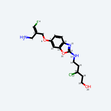 NC/C(=C/F)COc1ccc2nc(NCCC(Cl)CCO)oc2c1